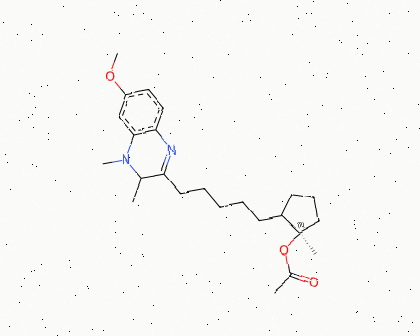 COc1ccc2c(c1)N(C)C(C)C(CCCCCC1CCC[C@@]1(C)OC(C)=O)=N2